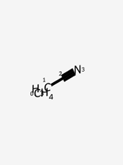 C.CC#N